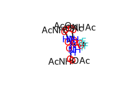 CC(=O)NC1[C@H](OCCCCCCNC(=O)CCC(CCC(=O)NCCCCCCO[C@@H]2OC(COC(C)=O)[C@H](C)[C@H](C)C2NC(C)=O)(CCC(=O)NCCCCCCO[C@@H]2OC(COC(C)=O)[C@H](C)[C@H](C)C2NC(C)=O)NC(=O)CCCC(=O)Oc2c(F)c(F)c(C)c(F)c2F)OC(COC(C)=O)[C@H](C)[C@@H]1C